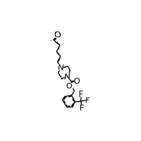 O=[C]CCCCN1CCN(C(=O)OCc2ccccc2C(F)(F)F)CC1